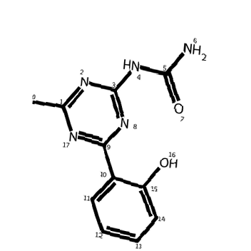 Cc1nc(NC(N)=O)nc(-c2ccccc2O)n1